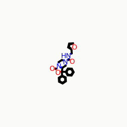 O=C(NCc1ccco1)N1CCN2C(=O)OC(c3ccccc3)(c3ccccc3)C2C1